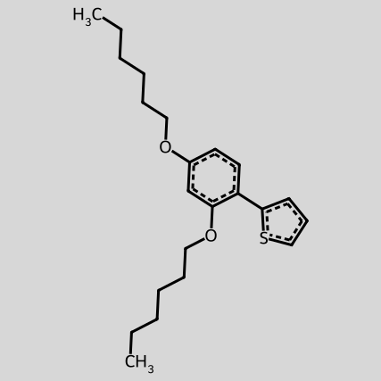 CCCCCCOc1ccc(-c2cccs2)c(OCCCCCC)c1